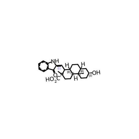 C[C@]12CC[C@H](O)C[C@H]1CC[C@H]1C(/C=C3/Nc4ccccc4C3=O)[C@@](C)(C(=O)O)CC[C@@H]12